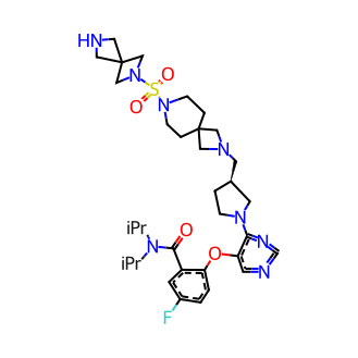 CC(C)N(C(=O)c1cc(F)ccc1Oc1cncnc1N1CC[C@@H](CN2CC3(CCN(S(=O)(=O)N4CC5(CNC5)C4)CC3)C2)C1)C(C)C